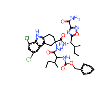 CCC(C)C(NC(=O)OCc1ccccc1)C(=O)N[C@]1(C(=O)N[C@H](c2nc(C(N)=O)no2)[C@@H](C)CC)CCc2[nH]c3c(Cl)cc(Cl)cc3c2C1